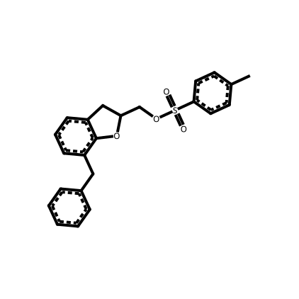 Cc1ccc(S(=O)(=O)OCC2Cc3cccc(Cc4ccccc4)c3O2)cc1